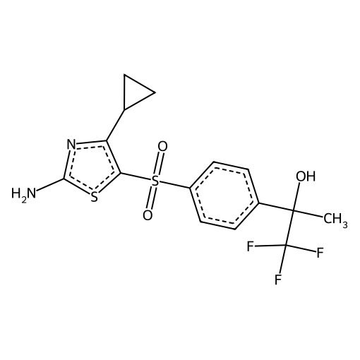 CC(O)(c1ccc(S(=O)(=O)c2sc(N)nc2C2CC2)cc1)C(F)(F)F